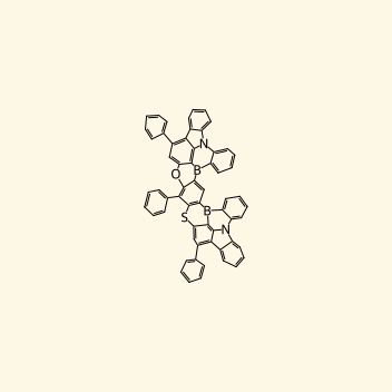 c1ccc(-c2c3c(cc4c2Sc2cc(-c5ccccc5)c5c6ccccc6n6c5c2B4c2ccccc2-6)B2c4ccccc4-n4c5ccccc5c5c(-c6ccccc6)cc(c2c54)O3)cc1